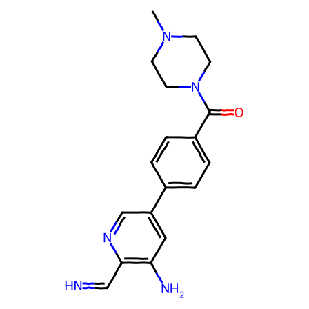 CN1CCN(C(=O)c2ccc(-c3cnc(C=N)c(N)c3)cc2)CC1